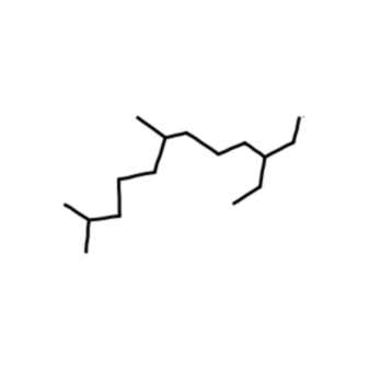 [CH2]CC(CC)CCCC(C)CCCC(C)C